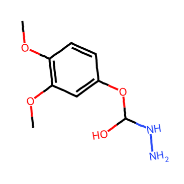 COc1ccc(OC(O)NN)cc1OC